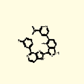 CN(C)c1cncc(-c2ccc3[nH]nc(-c4nc5c(-c6cccc(F)c6)nccc5[nH]4)c3c2F)c1